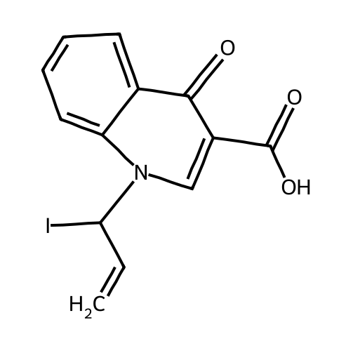 C=CC(I)n1cc(C(=O)O)c(=O)c2ccccc21